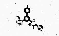 CCc1nnnn1-c1cc(C(=O)NC(C)Cn2ccnc2)cc(-c2ccc(C)cc2)c1